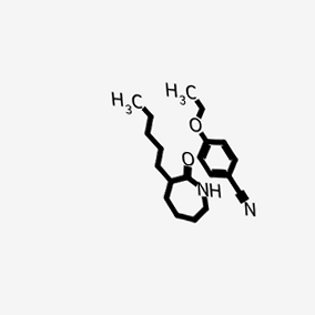 CCCCCC1CCCCNC1=O.CCOc1ccc(C#N)cc1